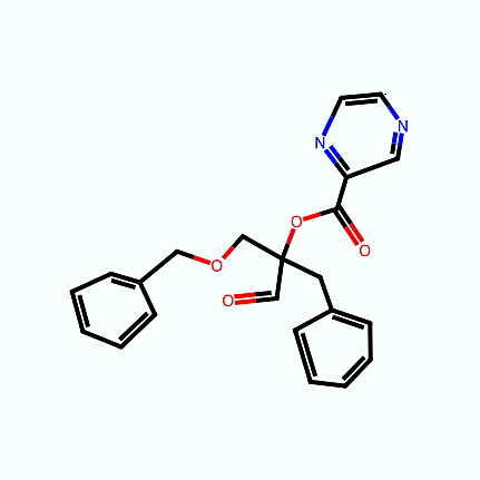 O=CC(COCc1ccccc1)(Cc1ccccc1)OC(=O)c1cn[c]cn1